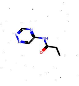 CCC(=O)Nc1cnncn1